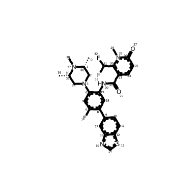 C[C@@H]1CN(c2cc(F)c(-c3ccc4scnc4c3)cc2NC(=O)c2ccc(=O)n(C)c2C(F)F)C[C@H](C)N1C